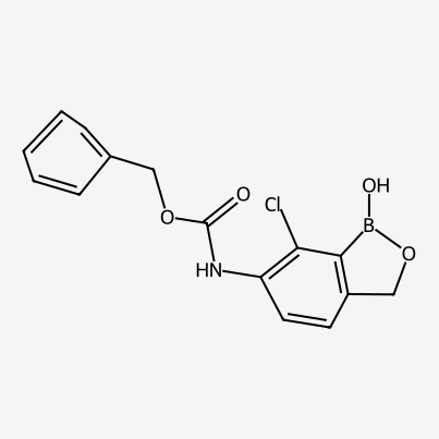 O=C(Nc1ccc2c(c1Cl)B(O)OC2)OCc1ccccc1